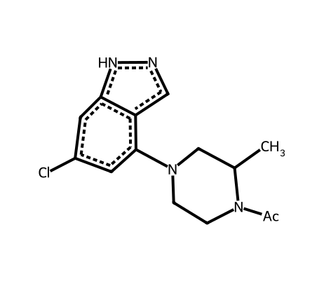 CC(=O)N1CCN(c2cc(Cl)cc3[nH]ncc23)CC1C